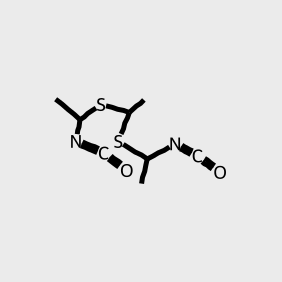 CC(N=C=O)SC(C)SC(C)N=C=O